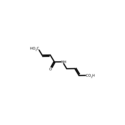 O=C(O)C=CCNC(=O)C=CC(=O)O